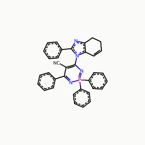 N#CC1=C(n2c(-c3ccccc3)nc3c2C=CCC3)N=P(c2ccccc2)(c2ccccc2)N=C1c1ccccc1